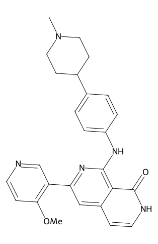 COc1ccncc1-c1cc2cc[nH]c(=O)c2c(Nc2ccc(C3CCN(C)CC3)cc2)n1